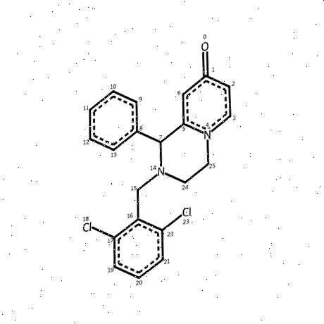 O=c1ccn2c(c1)C(c1ccccc1)N(Cc1c(Cl)cccc1Cl)CC2